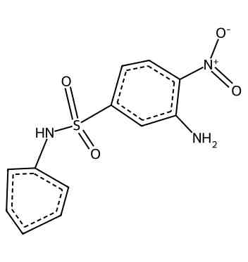 Nc1cc(S(=O)(=O)Nc2ccccc2)ccc1[N+](=O)[O-]